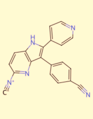 [C-]#[N+]c1ccc2[nH]c(-c3ccncc3)c(-c3ccc(C#N)cc3)c2n1